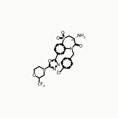 N[C@H]1CS(=O)(=O)c2ccc(-c3nnc(N4CCOC(C(F)(F)F)C4)o3)cc2N(Cc2ccc(Cl)cc2)C1=O